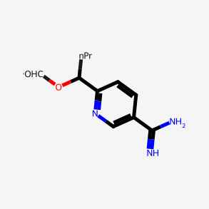 CCCC(O[C]=O)c1ccc(C(=N)N)cn1